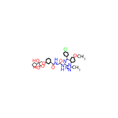 COc1ccc2c(c1)C(c1ccc(Cl)cc1)=N[C@@H](NC(=O)CNC(=O)c1cccc(OCC(O)(C(=O)O)C3CCCC3)c1)c1nnc(C)n1-2